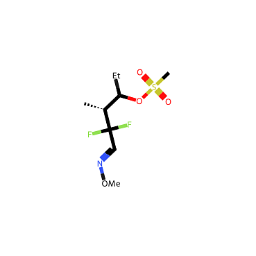 CCC(OS(C)(=O)=O)[C@@H](C)C(F)(F)/C=N/OC